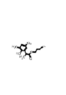 Cc1cc(C(C)(C)C)cc(C(C)C(=O)OCCCC(C)C)c1O